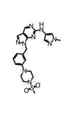 Cn1cc(Nc2ncc3cnn(Cc4cccc(N5CCN(S(C)(=O)=O)CC5)c4)c3n2)cn1